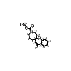 CC1=CC2(CCCN(C(=O)OC(C)(C)C)CC2)Oc2ccccc21